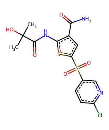 CC(C)(O)C(=O)Nc1sc(S(=O)(=O)c2ccc(Cl)nc2)cc1C(N)=O